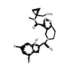 COCC1(N(C)C(=O)c2noc3c2CN(C(=O)c2cc4c(F)cc(F)cc4[nH]2)CC3)CC1